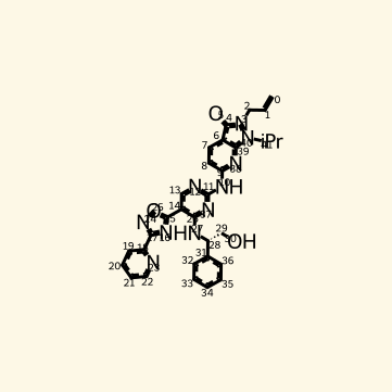 C=CCn1c(=O)c2ccc(Nc3ncc(-c4nc(-c5ccccn5)no4)c(N[C@H](CO)c4ccccc4)n3)nc2n1C(C)C